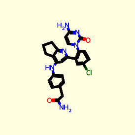 NC(=O)Cc1ccc(Nc2cc(-c3cc(Cl)ccc3-n3ccc(N)nc3=O)nc3c2CCC3)cc1